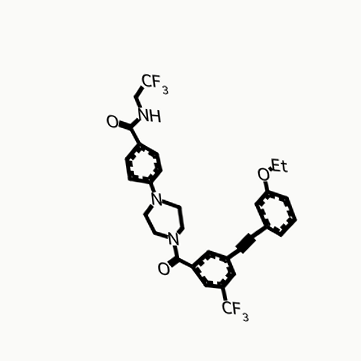 CCOc1cccc(C#Cc2cc(C(=O)N3CCN(c4ccc(C(=O)NCC(F)(F)F)cc4)CC3)cc(C(F)(F)F)c2)c1